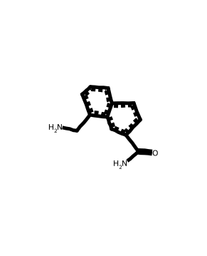 NCc1cccc2ccc(C(N)=O)cc12